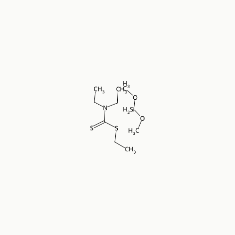 CCSC(=S)N(CC)CC.CO[SiH2]OC